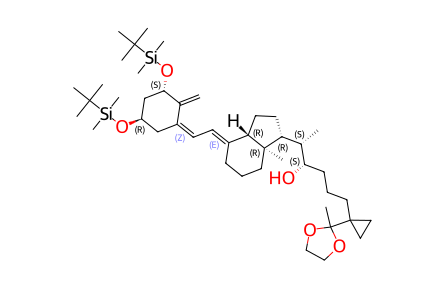 C=C1/C(=C\C=C2/CCC[C@]3(C)[C@@H]([C@H](C)[C@@H](O)CCCC4(C5(C)OCCO5)CC4)CC[C@@H]23)C[C@@H](O[Si](C)(C)C(C)(C)C)C[C@@H]1O[Si](C)(C)C(C)(C)C